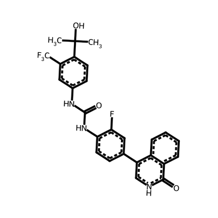 CC(C)(O)c1ccc(NC(=O)Nc2ccc(-c3c[nH]c(=O)c4ccccc34)cc2F)cc1C(F)(F)F